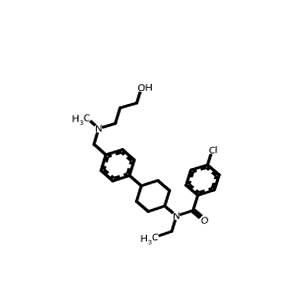 CCN(C(=O)c1ccc(Cl)cc1)C1CCC(c2ccc(CN(C)CCCO)cc2)CC1